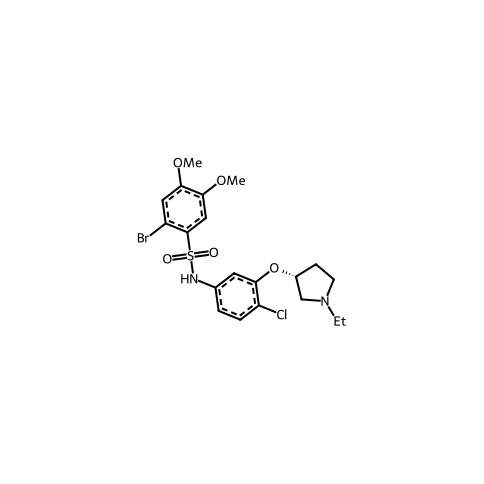 CCN1CC[C@@H](Oc2cc(NS(=O)(=O)c3cc(OC)c(OC)cc3Br)ccc2Cl)C1